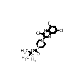 CC(C)(C)OC(=O)N1CCN(c2nc3cc(Cl)cc(F)c3nc2Cl)CC1